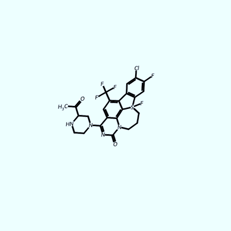 CC(=O)C1CN(c2nc(=O)n3c4c5c(c(C(F)(F)F)cc24)-c2cc(Cl)c(F)cc2S5(F)CCC3)CCN1